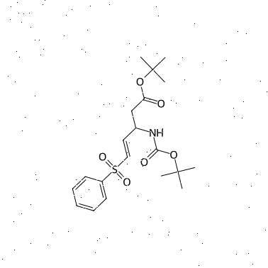 CC(C)(C)OC(=O)CC(C=CS(=O)(=O)c1ccccc1)NC(=O)OC(C)(C)C